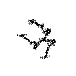 O=C(COC(=O)c1ccccc1OC(=O)COC(=O)CC(O)(CC(=O)OCC(=O)Oc1ccccc1C(=O)OCC(=O)OCCCCON(O)O)C(O)OCC(=O)Oc1ccccc1C(=O)OCC(=O)OCCCCON(O)O)OCCCCON(O)O